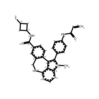 C=CC(=O)Nc1ccc(-c2c3c4c(ncnc4n2C)NCc2cc(C(=O)NC4CC(F)C4)ccc2-3)cc1